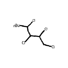 CCCCC(Cl)C(Cl)C(Cl)CCl